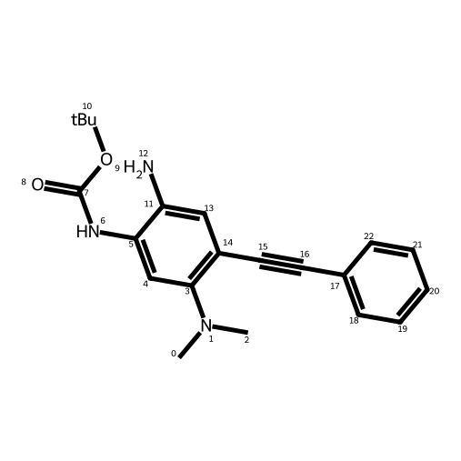 CN(C)c1cc(NC(=O)OC(C)(C)C)c(N)cc1C#Cc1ccccc1